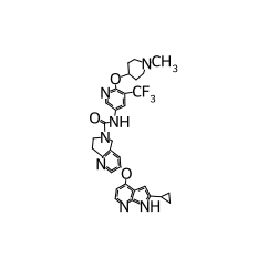 CN1CCC(Oc2ncc(NC(=O)N3CCc4ncc(Oc5ccnc6[nH]c(C7CC7)cc56)cc4C3)cc2C(F)(F)F)CC1